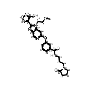 COCCn1c(-c2nonc2N)nc2cnc(Oc3cccc(C(=O)NCCCN4CCCC4=O)c3)cc21